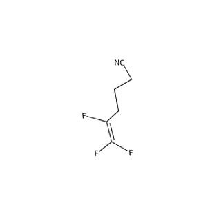 N#CCCCC(F)=C(F)F